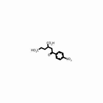 O=C(O)CCC(CC(=O)c1ccc([N+](=O)[O-])cc1)C(=O)O